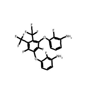 Nc1cccc(Oc2c(F)c(Oc3cccc(N)c3F)c(C(F)(F)F)c(C(F)(F)F)c2F)c1F